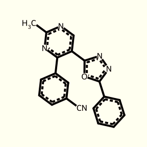 Cc1ncc(-c2nnc(-c3ccccc3)o2)c(-c2cccc(C#N)c2)n1